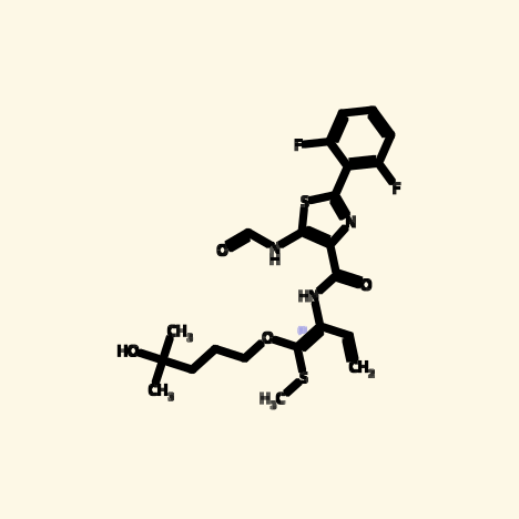 C=C/C(NC(=O)c1nc(-c2c(F)cccc2F)sc1NC=O)=C(/OCCCC(C)(C)O)SC